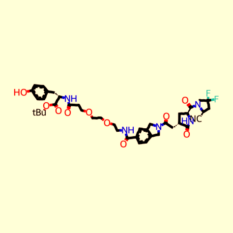 CC(C)(C)OC(=O)[C@H](Cc1ccc(O)cc1)NC(=O)CCOCCOCCNC(=O)c1ccc2c(c1)CN(C(=O)C[C@@H]1C[C@@H](C(=O)N3CC(F)(F)C[C@H]3C#N)NC1=O)C2